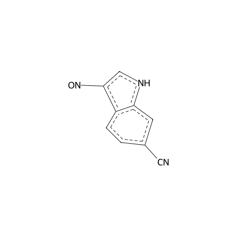 N#Cc1ccc2c(N=O)c[nH]c2c1